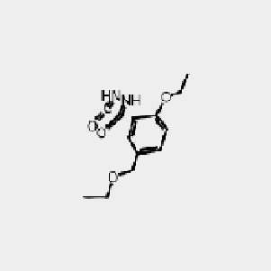 CCOCc1ccc(OCC)cc1.N=C=O.N=C=O